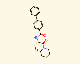 O=CC[C@H](NC(=O)c1ccc(-c2ccccc2)cc1)C(=O)N1CCCCC1